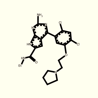 CCNC(=O)c1cc2c(-c3cc(OCCN4CCCC4)c(Cl)cc3Cl)nc(N)nc2[nH]1